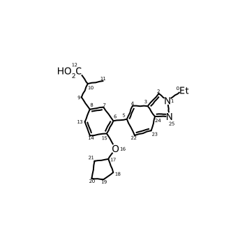 CCn1cc2cc(-c3cc(CC(C)C(=O)O)ccc3OC3CCCC3)ccc2n1